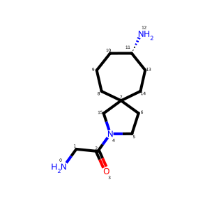 NCC(=O)N1CCC2(CCC[C@H](N)CC2)C1